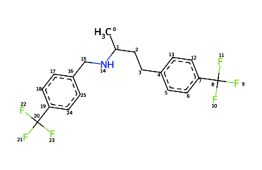 CC(CCc1ccc(C(F)(F)F)cc1)NCc1ccc(C(F)(F)F)cc1